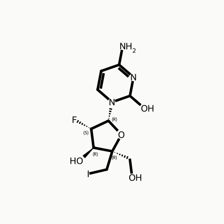 NC1=NC(O)N([C@@H]2O[C@@](CO)(CI)[C@@H](O)[C@@H]2F)C=C1